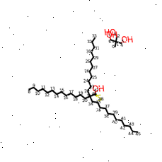 CC(CO)(CO)CO.CCCCCCCCCCCCCC(CCCCCCCCCCCC)(CCCCCCCCCCCC)C(O)=S